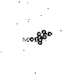 N#Cc1ccc(-c2cc(-c3ccccc3-n3c4ccccc4c4ccc5c(c6ccccc6n5-c5ccccc5)c43)cc(-c3ccccc3)n2)cc1